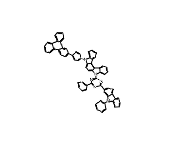 c1ccc(-c2nc(-c3ccc4c5ccccc5n(-c5ccccc5)c4c3)nc(-n3c4ccccc4c4c5c6ccccc6n(-c6ccc(-c7ccc8c9ccccc9c9ccccc9c8c7)cc6)c5ccc43)n2)cc1